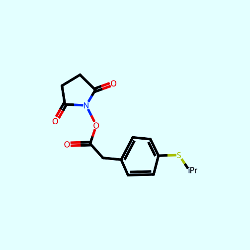 CC(C)Sc1ccc(CC(=O)ON2C(=O)CCC2=O)cc1